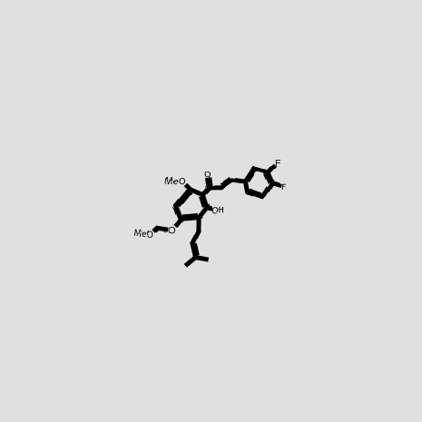 COCOc1cc(OC)c(C(=O)/C=C/c2ccc(F)c(F)c2)c(O)c1CC=C(C)C